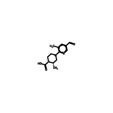 Cc1cc(C=O)cnc1N1CCN(C(=O)O)[C@@H](C)C1